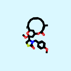 COc1ccc(CN2C(=O)SCC2[C@@]2(OC)C[C@H]3C[C@@H](CCCC=CCCC(C)=CC(=O)O3)O2)cc1